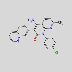 Nc1c(-c2ccc3cccnc3c2)c(=O)n(-c2ccc(Cl)cc2)c2nc(C(F)(F)F)ccc12